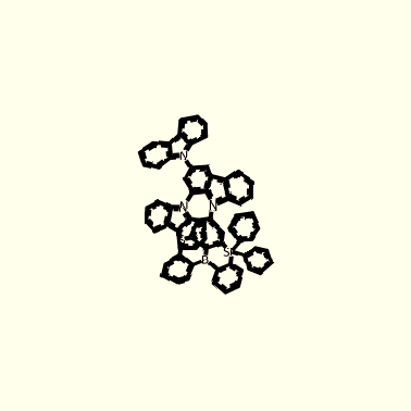 c1ccc([Si]2(c3ccccc3)c3ccccc3B3c4ccccc4Sc4cc(-n5c6ccccc6c6cc(-n7c8ccccc8c8ccccc87)cc(-n7c8ccccc8c8ccccc87)c65)cc2c43)cc1